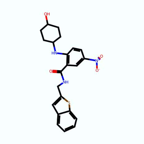 O=C(NCc1cc2ccccc2s1)c1cc([N+](=O)[O-])ccc1NC1CCC(O)CC1